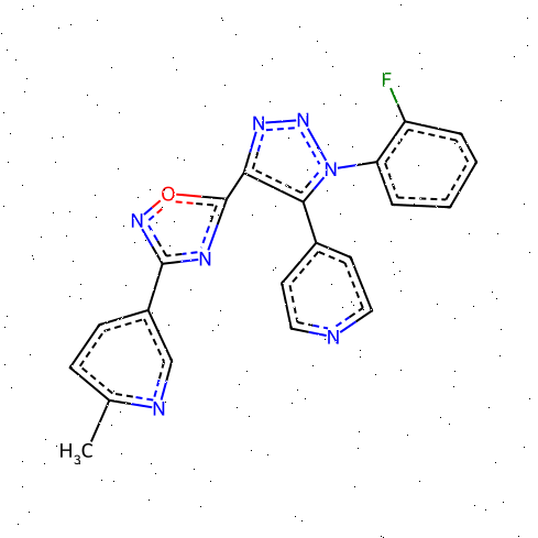 Cc1ccc(-c2noc(-c3nnn(-c4ccccc4F)c3-c3ccncc3)n2)cn1